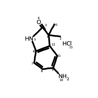 CC1(C)C(=O)Nc2ccc(N)cc21.Cl